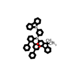 CC1(C)c2ccccc2-c2ccc(N(c3cccc(-n4c5ccccc5c5ccccc54)c3)c3cccc(-c4ccccc4)c3-c3cccc(-c4ccccc4)c3)cc21